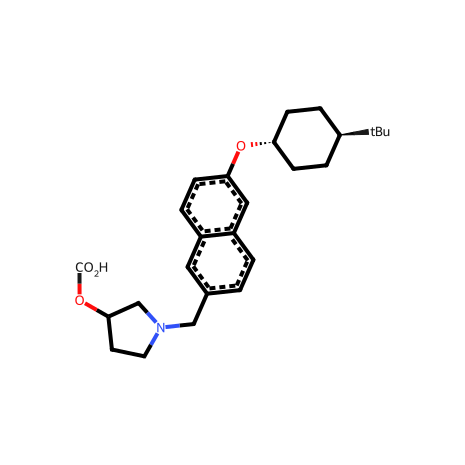 CC(C)(C)[C@H]1CC[C@H](Oc2ccc3cc(CN4CCC(OC(=O)O)C4)ccc3c2)CC1